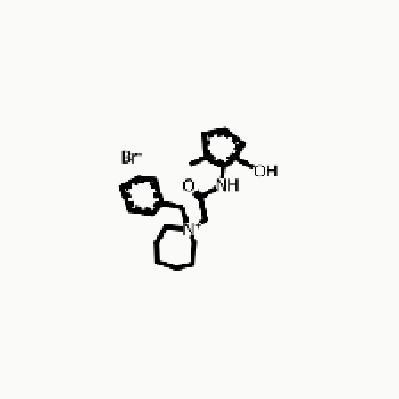 Cc1cccc(O)c1NC(=O)C[N+]1(Cc2ccccc2)CCCCCC1.[Br-]